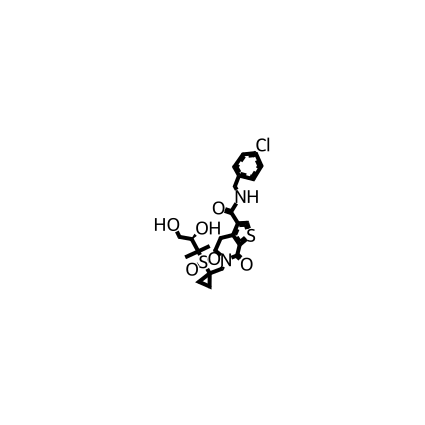 CC(C)([C@H](O)CO)S(=O)(=O)C1(CN2CCc3c(C(=O)NCc4ccc(Cl)cc4)csc3C2=O)CC1